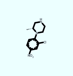 C[C@@H]1CNCCN1c1ccc([N+](=O)[O-])cc1Cl